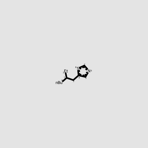 CCCCC(CC)Cc1cncs1